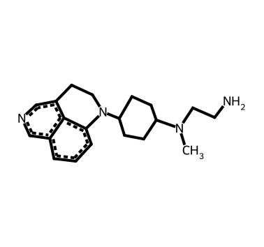 CN(CCN)C1CCC(N2CCc3cncc4cccc2c34)CC1